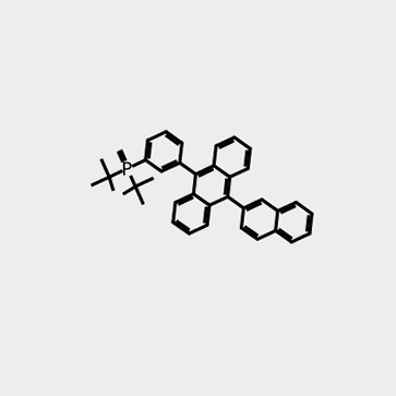 C=P(c1cccc(-c2c3ccccc3c(-c3ccc4ccccc4c3)c3ccccc23)c1)(C(C)(C)C)C(C)(C)C